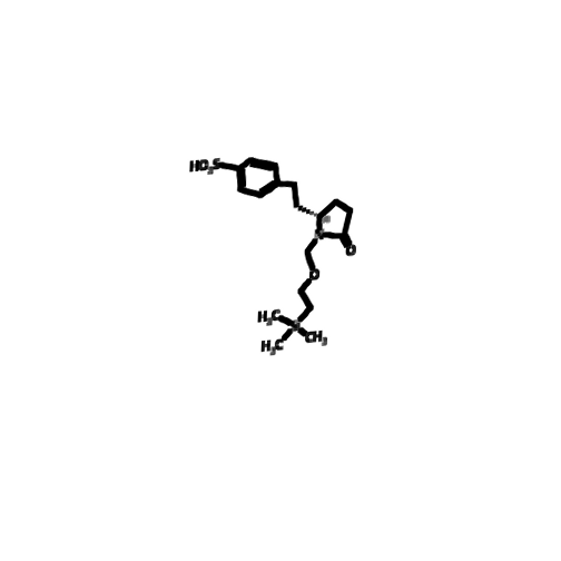 C[Si](C)(C)CCOCN1C(=O)CC[C@H]1CCc1ccc(S(=O)(=O)O)cc1